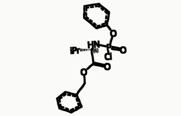 CC(C)[C@H](NP(=O)(Cl)Oc1ccccc1)C(=O)OCc1ccccc1